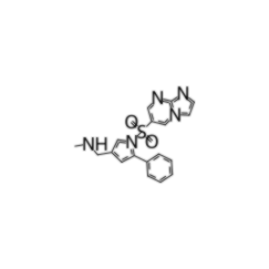 CNCc1cc(-c2ccccc2)n(S(=O)(=O)c2cnc3nccn3c2)c1